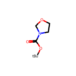 CC(C)(C)OC(=O)N1CCOC1